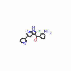 Nc1cccc(C(=O)c2c[nH]c3ncc(-c4cccnc4)cc23)c1F